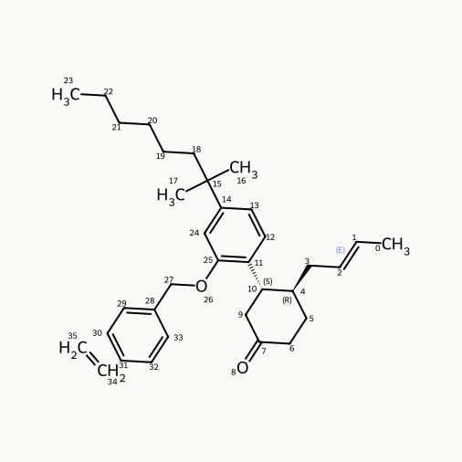 C/C=C/C[C@H]1CCC(=O)C[C@@H]1c1ccc(C(C)(C)CCCCCC)cc1OCc1ccccc1.C=C